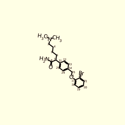 CN(C)CCCCC(C(N)=O)c1ccc(COc2ccccc2Br)cc1